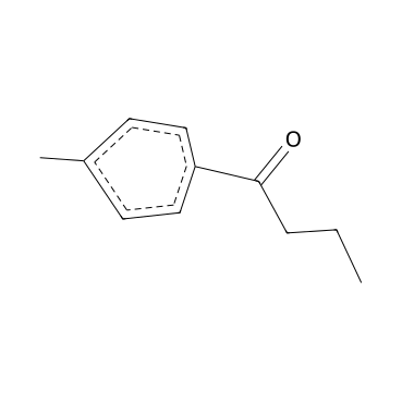 CCCC(=O)c1ccc(C)cc1